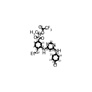 CCSc1ccc(S(=O)(=O)N(C)OC(=O)C(F)(F)F)cc1Nc1cc(Nc2ccc(Cl)cc2)ncn1